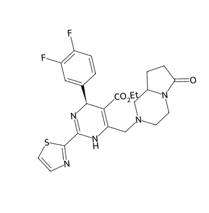 CCOC(=O)C1=C(CN2CCN3C(=O)CCC3C2)NC(c2nccs2)=N[C@H]1c1ccc(F)c(F)c1